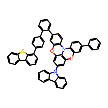 c1ccc(-c2ccc3c(c2)Oc2cc(-n4c5ccccc5c5ccccc54)cc4c2N3c2ccc(-c3ccccc3-c3ccc(-c5cccc6c5sc5ccccc56)cc3)cc2O4)cc1